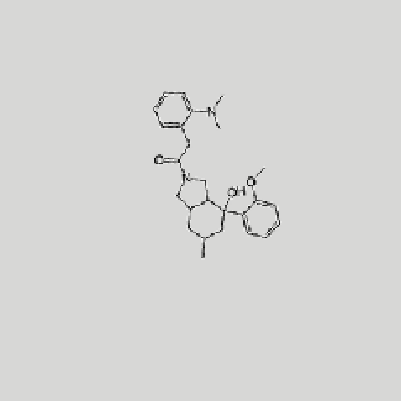 COc1ccccc1C1(O)CC(C)CC2CN(C(=O)Cc3ccccc3N(C)C)CC21